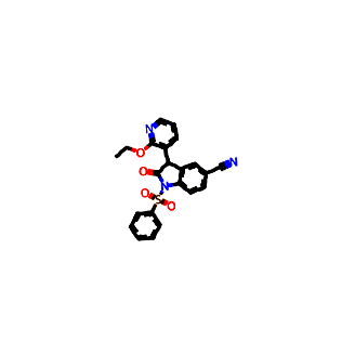 CCOc1ncccc1[C]1C(=O)N(S(=O)(=O)c2ccccc2)c2ccc(C#N)cc21